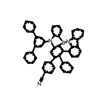 N#Cc1ccc(-c2cc3c4c(c2-c2ccccc2)-c2cccc5c6ccccc6n(c25)B4c2ccccc2N3c2cc(-c3ccccc3)cc(-c3ccccc3)c2)cc1